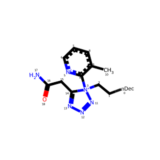 CCCCCCCCCCCC[N+]1(c2ncccc2C)N=NN=C1CC(N)=O